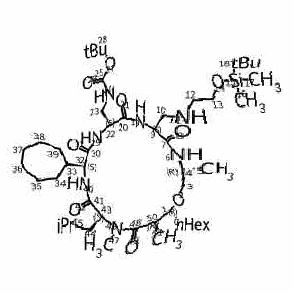 CCCCCC[C@H]1OC[C@@H](C)NC(=O)[C@H](CNCCO[Si](C)(C)C(C)(C)C)NC(=O)[C@H](CNC(=O)OC(C)(C)C)NC(=O)[C@H](C2CCCCCC2)NC(=O)[C@H](CC(C)C)N(C)C(=O)[C@@H]1C